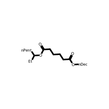 CCCCCCCCCCOC(=O)CCCCC(=O)OC(CC)CCCCC